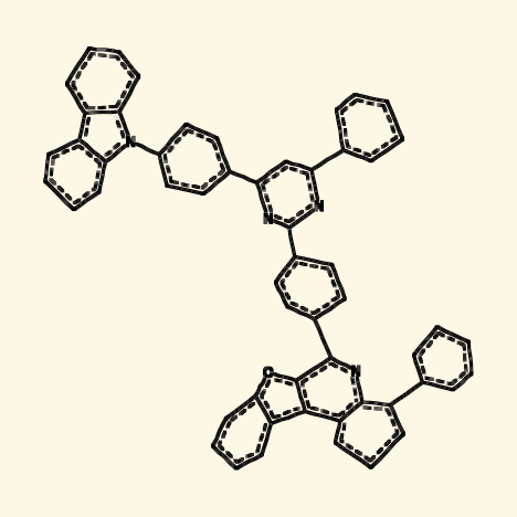 c1ccc(-c2cc(-c3ccc(-n4c5ccccc5c5ccccc54)cc3)nc(-c3ccc(-c4nc5c(-c6ccccc6)cccc5c5c4oc4ccccc45)cc3)n2)cc1